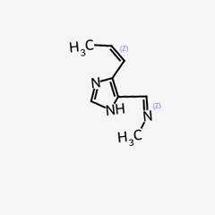 C/C=C\c1nc[nH]c1/C=N\C